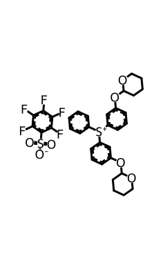 O=S(=O)([O-])c1c(F)c(F)c(F)c(F)c1F.c1ccc([S+](c2cccc(OC3CCCCO3)c2)c2cccc(OC3CCCCO3)c2)cc1